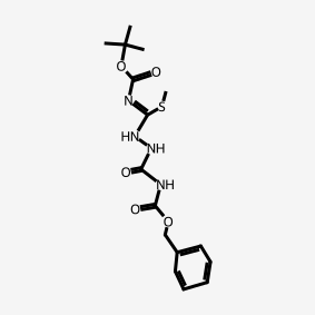 CSC(=NC(=O)OC(C)(C)C)NNC(=O)NC(=O)OCc1ccccc1